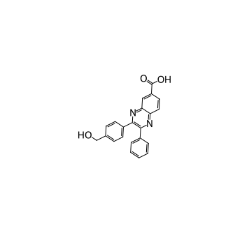 O=C(O)c1ccc2nc(-c3ccccc3)c(-c3ccc(CO)cc3)nc2c1